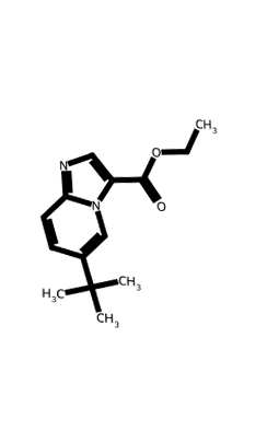 CCOC(=O)c1cnc2ccc(C(C)(C)C)cn12